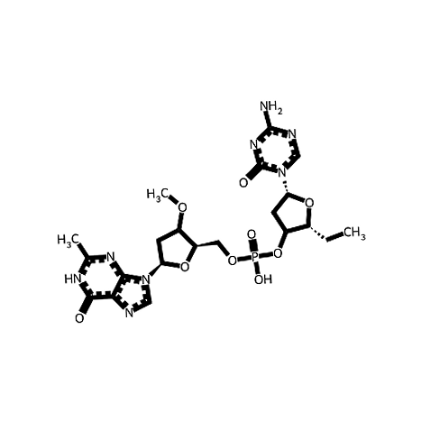 CC[C@H]1O[C@@H](n2cnc(N)nc2=O)CC1OP(=O)(O)OC[C@H]1O[C@@H](n2cnc3c(=O)[nH]c(C)nc32)CC1OC